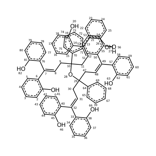 Oc1ccccc1C(=CCC(CC=C(c1ccccc1O)c1ccccc1O)(OC(CC=C(c1ccccc1O)c1ccccc1O)(CC=C(c1ccccc1O)c1ccccc1O)c1ccccc1)c1ccccc1)c1ccccc1O